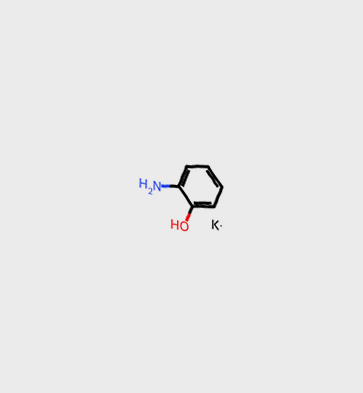 Nc1ccccc1O.[K]